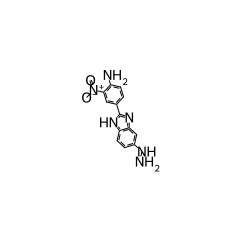 NNc1ccc2[nH]c(-c3ccc(N)c([N+](=O)[O-])c3)nc2c1